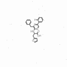 O=C(O)C(Cc1ccco1)Nc1ncc(-c2ccccc2F)nc1Cc1ccccc1